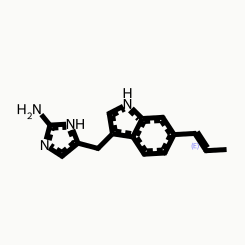 C/C=C/c1ccc2c(Cc3cnc(N)[nH]3)c[nH]c2c1